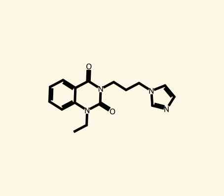 CCn1c(=O)n(CCCn2ccnc2)c(=O)c2ccccc21